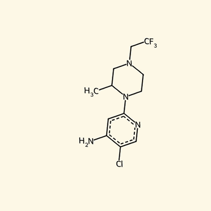 CC1CN(CC(F)(F)F)CCN1c1cc(N)c(Cl)cn1